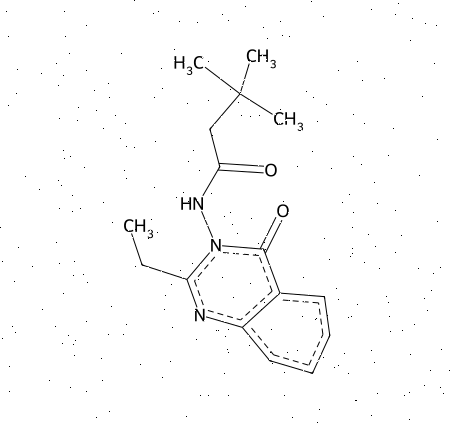 CCc1nc2ccccc2c(=O)n1NC(=O)CC(C)(C)C